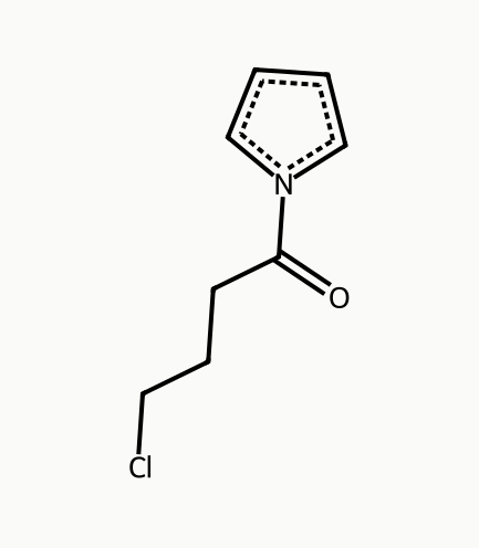 O=C(CCCCl)n1cccc1